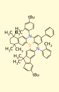 Cc1ccccc1N1c2cc3c(cc2B2c4cc5c(cc4N(c4ccc(C(C)(C)C)cc4C)c4cc(-c6ccccc6)cc1c42)C(C)(C)CCC5(C)C)C(C)(C)c1ccc(C(C)(C)C)cc1-3